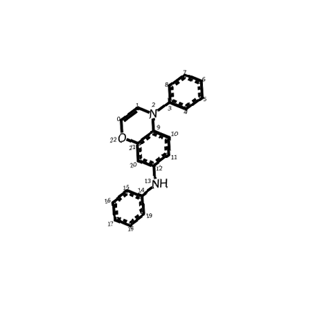 C1=CN(c2ccccc2)c2ccc(Nc3ccccc3)cc2O1